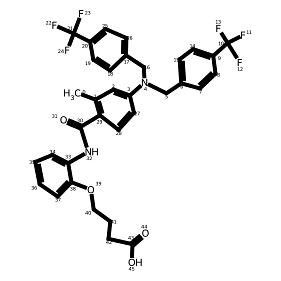 Cc1cc(N(Cc2ccc(C(F)(F)F)cc2)Cc2ccc(C(F)(F)F)cc2)ccc1C(=O)Nc1ccccc1OCCCC(=O)O